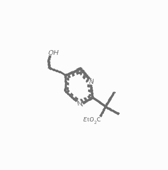 CCOC(=O)C(C)(C)c1ncc(CO)cn1